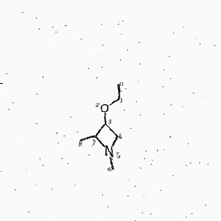 CCOC1CN(C)C1C